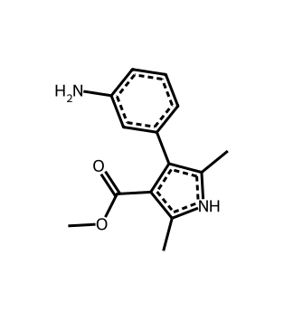 COC(=O)c1c(C)[nH]c(C)c1-c1cccc(N)c1